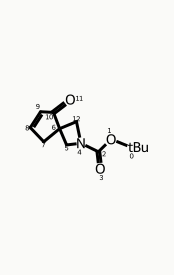 CC(C)(C)OC(=O)N1CC2(CC=CC2=O)C1